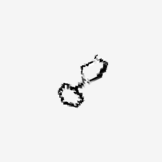 [C]1=CSCN1c1ccccc1